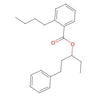 CCCCc1ccccc1C(=O)OC(CC)CCc1ccccc1